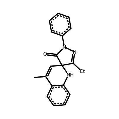 CCC1=NN(c2ccccc2)C(=O)C12C=C(C)c1ccccc1N2